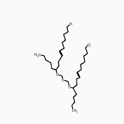 CCCCCC(CCC=CCCCCCCCl)OCOCOC(CCC=CCCCCCCCl)CCCCC